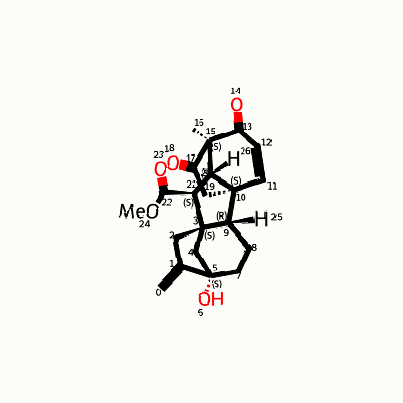 C=C1C[C@]23C[C@@]1(O)CC[C@H]2[C@@]12C=CC(=O)[C@](C)(C(=O)C1)[C@H]2[C@@H]3C(=O)OC